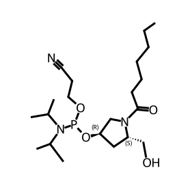 CCCCCCC(=O)N1C[C@H](OP(OCCC#N)N(C(C)C)C(C)C)C[C@H]1CO